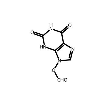 O=COn1cnc2c(=O)[nH]c(=O)[nH]c21